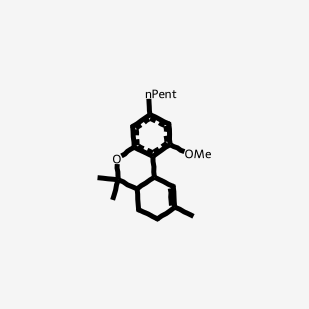 CCCCCc1cc(OC)c2c(c1)OC(C)(C)C1CCC(C)=CC21